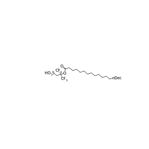 CCCCCCCCCCCCCCCCCCCCCCC(=O)OC(CS(=O)(=O)O)(C(F)(F)F)C(F)(F)F